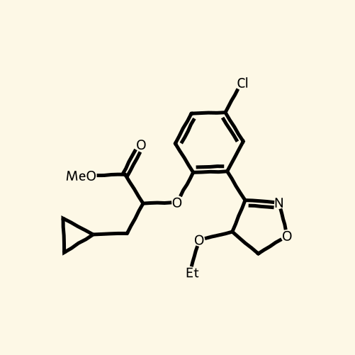 CCOC1CON=C1c1cc(Cl)ccc1OC(CC1CC1)C(=O)OC